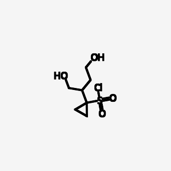 O=S(=O)(Cl)C1(C(CO)CCO)CC1